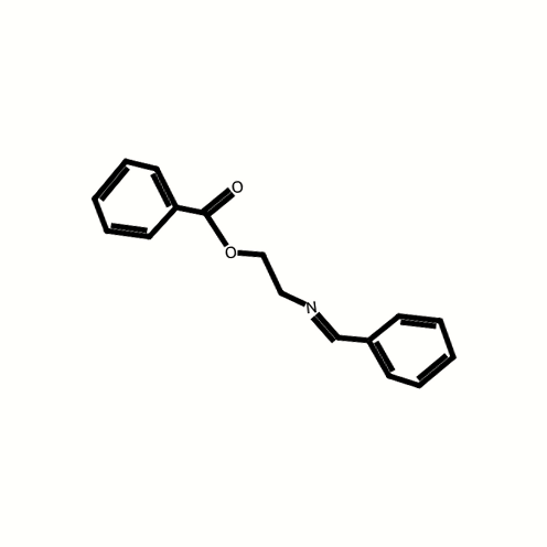 O=C(OCCN=Cc1ccccc1)c1ccccc1